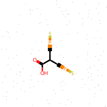 O=C(O)C(C#P=S)C#P=S